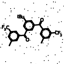 Cc1cc(C(=O)c2cc(C(=O)c3cc(C)cc(C(F)(F)F)c3)cc(C(C)(C)C)c2)cc(C(F)(F)F)c1